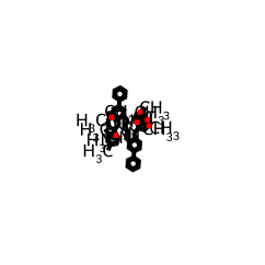 C=N/C(C)=C\C(=C/C)N1/C(=C2/N(c3cc(C)nc(C)c3)c3ccc(-c4ccccc4)cc3N2c2cc(C)nc(C)c2)N(c2cc(C)nc(C)c2)c2cc(-c3ccccc3)ccc21